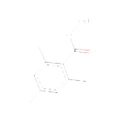 Cc1cc(C)c(C(=O)OO)c(C)c1